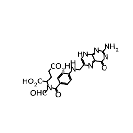 Nc1nc2[nH]cc(CNc3ccc(C(=O)N(C=O)C(CCC(=O)O)C(=O)O)cc3)nc-2c(=O)n1